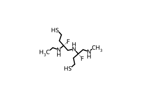 CCN[C@@](F)(CCS)CN[C@](F)(CCS)CNC